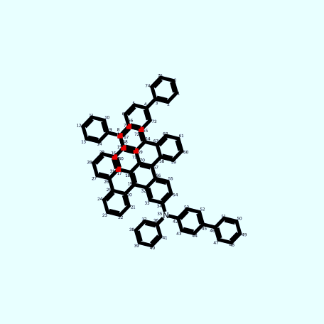 c1ccc(-c2ccc(N(c3ccccc3)c3ccc4c(-c5ccccc5-c5ccccc5)c5cc(N(c6ccccc6)c6ccc(-c7ccccc7)cc6)ccc5c(-c5ccccc5-c5ccccc5)c4c3)cc2)cc1